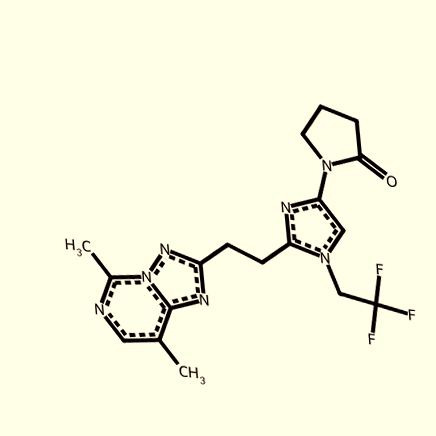 Cc1cnc(C)n2nc(CCc3nc(N4CCCC4=O)cn3CC(F)(F)F)nc12